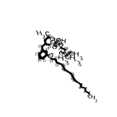 CCCCCCCCCCCCCOc1cccc(CC(COP(=O)(O)OCC[N+](C)(C)C)CC(C)=O)c1